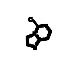 Clc1[c]ccc2nccn12